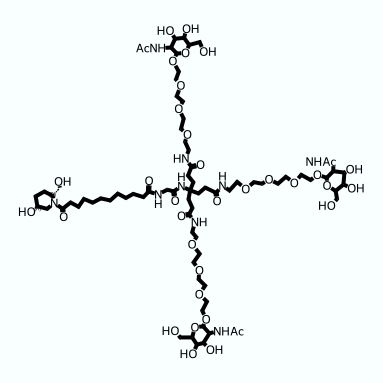 CC(=O)NC1C(OCCOCCOCCOCCNC(=O)CCC(CCC(=O)NCCOCCOCCOCCOC2OC(CO)C(O)C(O)C2NC(C)=O)(CCC(=O)NCCOCCOCCOCCOC2OC(CO)C(O)C(O)C2NC(C)=O)NC(=O)CNC(=O)CCCCCCCCCCC(=O)N2C[C@H](O)CC[C@@H]2CO)OC(CO)C(O)C1O